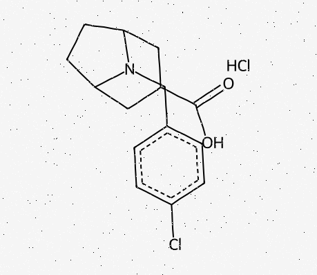 Cl.O=C(O)C1CC2CCC(C1)N2Cc1ccc(Cl)cc1